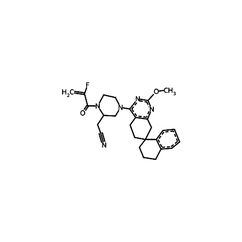 C=C(F)C(=O)N1CCN(c2nc(OC)nc3c2CCC2(CCCc4ccccc42)C3)CC1CC#N